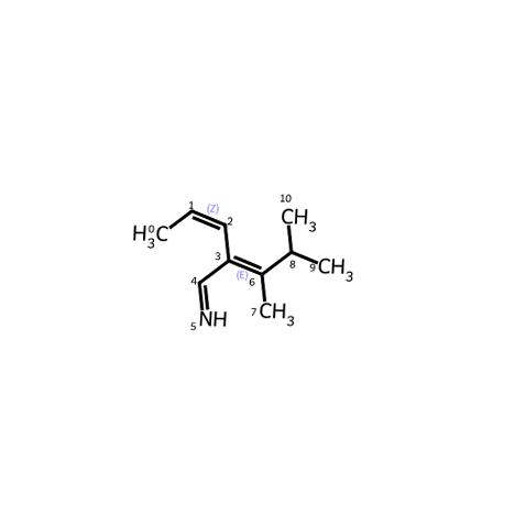 C/C=C\C(C=N)=C(\C)C(C)C